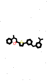 CC(C)c1cccc(Cc2cccc(-c3ccc(C(=O)CC(C)c4ccccc4)s3)c2)c1